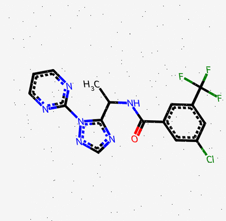 CC(NC(=O)c1cc(Cl)cc(C(F)(F)F)c1)c1ncnn1-c1ncccn1